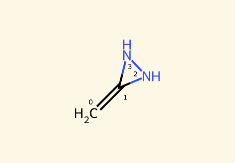 C=C1NN1